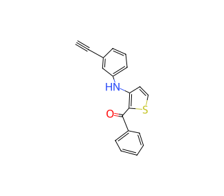 C#Cc1cccc(Nc2ccsc2C(=O)c2ccccc2)c1